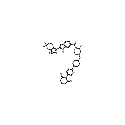 C[C@H]1CN(CC2CCN(c3ccc(N4C(=O)CCCC4=O)cn3)CC2)CCN1C(=O)c1ccc2cc(-c3n[nH]c4c3CCC(C)(C)C4)[nH]c2c1